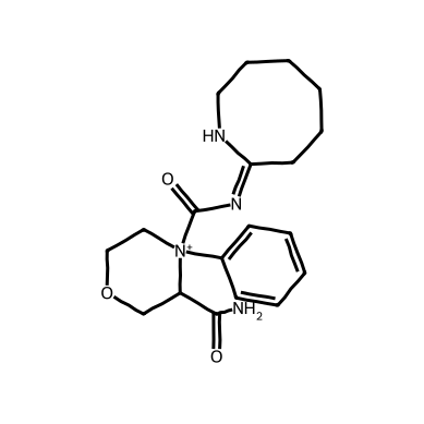 NC(=O)C1COCC[N+]1(C(=O)N=C1CCCCCCN1)c1ccccc1